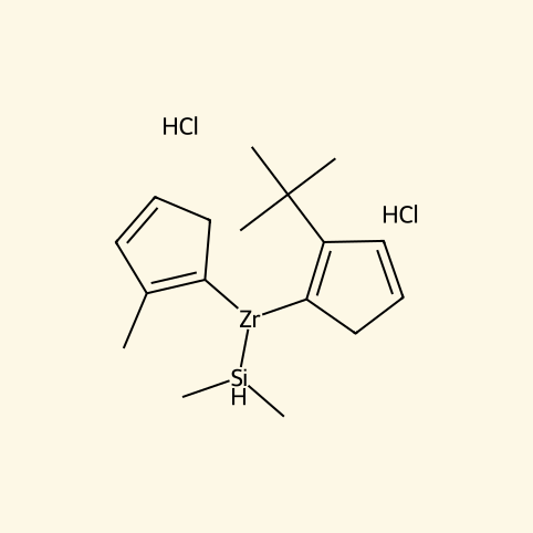 CC1=[C]([Zr]([C]2=C(C(C)(C)C)C=CC2)[SiH](C)C)CC=C1.Cl.Cl